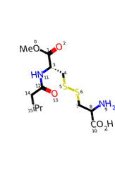 COC(=O)[C@H](CSSCC(N)C(=O)O)NC(=O)CC(C)C